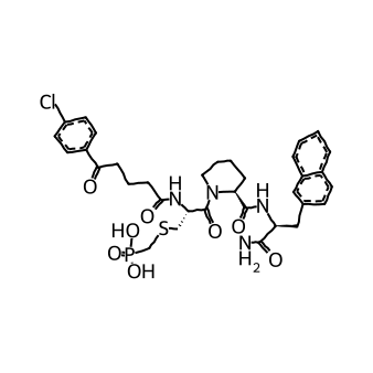 NC(=O)[C@H](Cc1ccc2ccccc2c1)NC(=O)[C@@H]1CCCCN1C(=O)[C@H](CSCP(=O)(O)O)NC(=O)CCCC(=O)c1ccc(Cl)cc1